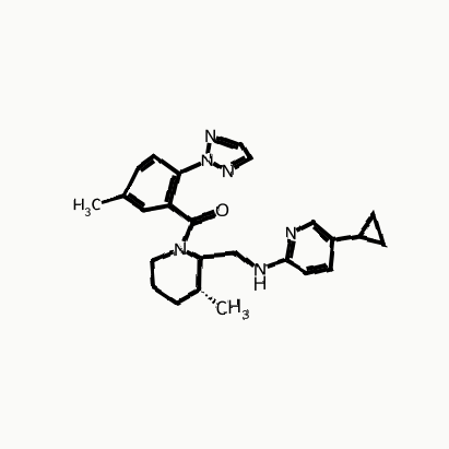 Cc1ccc(-n2nccn2)c(C(=O)N2CCC[C@@H](C)C2CNc2ccc(C3CC3)cn2)c1